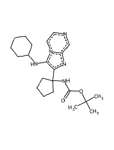 CC(C)(C)OC(=O)NC1(c2nc3cnccn3c2NC2CCCCC2)CCCC1